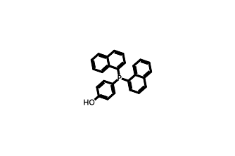 Oc1ccc(P(c2cccc3ccccc23)c2cccc3ccccc23)cc1